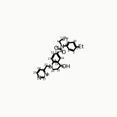 CCc1ccc(N(CC(C)C)S(=O)(=O)c2ccc3c(c2)C(O)CCN3Cc2ccncn2)cc1